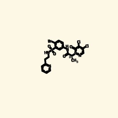 C[C@H](C(=O)Nc1ccc(Br)c(S(=O)(=O)NCCc2ccccn2)c1)n1ncc(Cl)c(Cl)c1=O